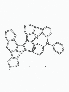 c1ccc(N(c2ccccc2)c2cccc3c4cccc5c6c7c8c9ccccc9cc9c%10ccccc%10n(c7ccc6n(c23)c45)c98)cc1